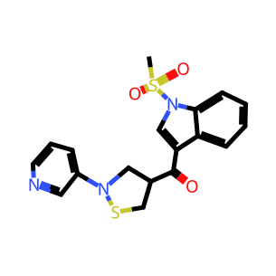 CS(=O)(=O)n1cc(C(=O)C2CSN(c3cccnc3)C2)c2ccccc21